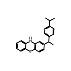 CC(C)c1ccc(C(C)c2ccc3c(c2)Nc2ccccc2S3)cc1